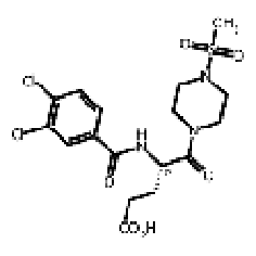 CS(=O)(=O)N1CCN(C(=O)[C@H](CCC(=O)O)NC(=O)c2ccc(Cl)c(Cl)c2)CC1